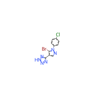 Clc1ccc(-n2ncc(-c3nn[nH]n3)c2Br)cc1